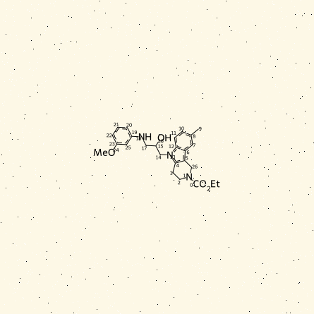 CCOC(=O)N1CCc2c(c3cc(C)ccc3n2CC(O)CNc2cccc(OC)c2)C1